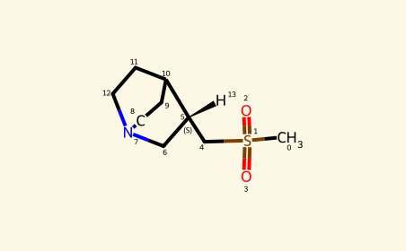 CS(=O)(=O)C[C@@H]1CN2CCC1CC2